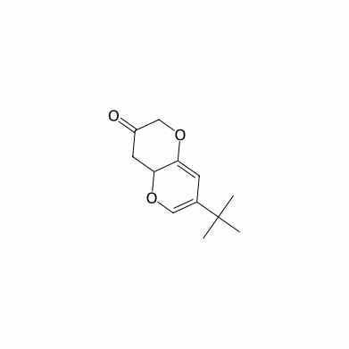 CC(C)(C)C1=COC2CC(=O)COC2=C1